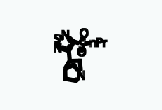 CCCS(=O)(=O)c1nsnc1C1CN2CCC1C2